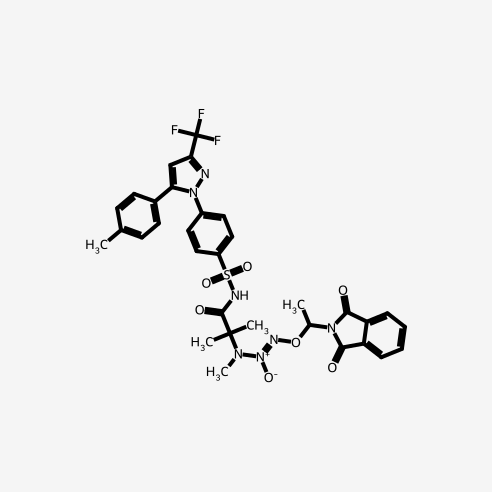 Cc1ccc(-c2cc(C(F)(F)F)nn2-c2ccc(S(=O)(=O)NC(=O)C(C)(C)N(C)[N+]([O-])=NOC(C)N3C(=O)c4ccccc4C3=O)cc2)cc1